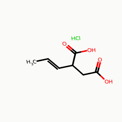 CC=CC(CC(=O)O)C(=O)O.Cl